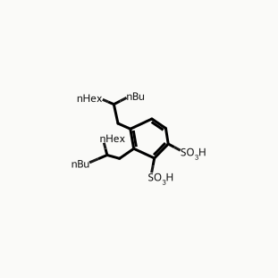 CCCCCCC(CCCC)Cc1ccc(S(=O)(=O)O)c(S(=O)(=O)O)c1CC(CCCC)CCCCCC